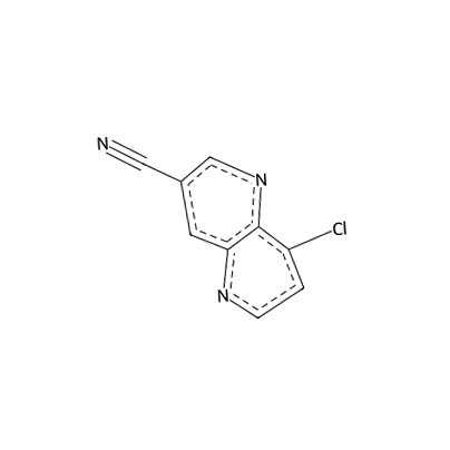 N#Cc1cnc2c(Cl)ccnc2c1